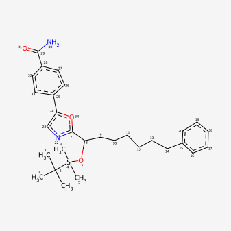 CC(C)(C)[Si](C)(C)OC(CCCCCCc1ccccc1)c1ncc(-c2ccc(C(N)=O)cc2)o1